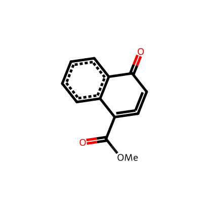 COC(=O)C1=C=CC(=O)c2ccccc21